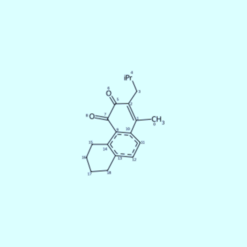 CC1=C(CC(C)C)C(=O)C(=O)c2c1ccc1c2CCCC1